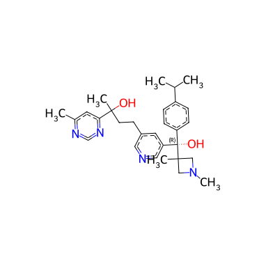 Cc1cc(C(C)(O)CCc2cncc([C@@](O)(c3ccc(C(C)C)cc3)C3(C)CN(C)C3)c2)ncn1